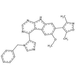 COc1cc2c(cc1-c1c(C)noc1C)[nH]c1ncnc(-c3cncn3Cc3ccccc3)c12